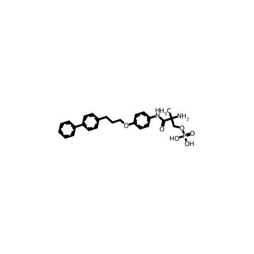 CC(N)(COP(=O)(O)O)C(=O)Nc1ccc(OCCCc2ccc(-c3ccccc3)cc2)cc1